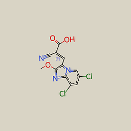 COc1nc2c(Cl)cc(Cl)cn2c1/C=C(\C#N)C(=O)O